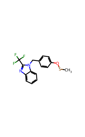 CSOc1ccc(Cn2c(C(F)(F)F)nc3ccccc32)cc1